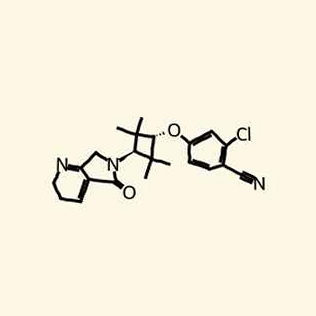 CC1(C)[C@H](Oc2ccc(C#N)c(Cl)c2)C(C)(C)[C@H]1N1CC2=NCCC=C2C1=O